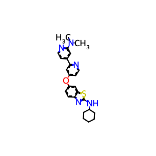 CN(C)c1cc(-c2cc(Oc3ccc4nc(NC5CCCCC5)sc4c3)ccn2)ccn1